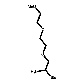 COCCOCCOCC(N)C(C)(C)C